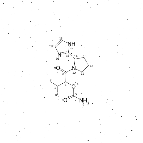 CC(C)C(OC(N)=O)C(=O)N1CCCC1c1ncc[nH]1